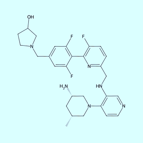 C[C@@H]1C[C@H](N)CN(c2ccncc2NCc2ccc(F)c(-c3c(F)cc(CN4CCC(O)C4)cc3F)n2)C1